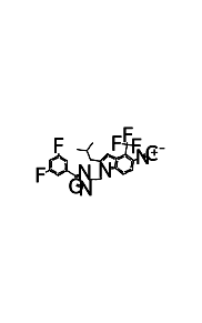 [C-]#[N+]c1ccc2c(cc(CC(C)C)n2Cc2noc(-c3cc(F)cc(F)c3)n2)c1C(F)(F)F